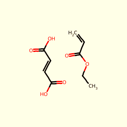 C=CC(=O)OCC.O=C(O)/C=C/C(=O)O